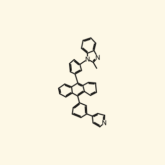 Cc1nc2ccccc2n1-c1cccc(-c2c3ccccc3c(-c3cccc(-c4ccncc4)c3)c3ccccc23)c1